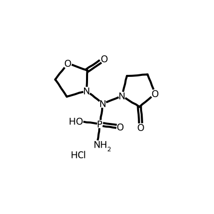 Cl.NP(=O)(O)N(N1CCOC1=O)N1CCOC1=O